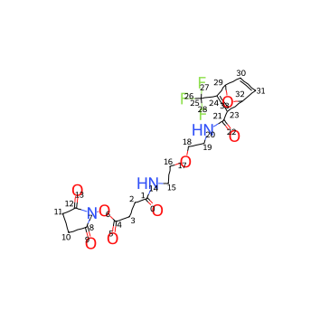 O=C(CCC(=O)ON1C(=O)CCC1=O)NCCOCCNC(=O)C1=C(C(F)(F)F)C2C=CC1O2